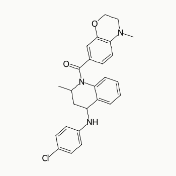 CC1CC(Nc2ccc(Cl)cc2)c2ccccc2N1C(=O)c1ccc2c(c1)OCCN2C